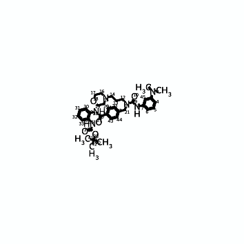 CN(C)c1cccc(NC(=O)N(CCCN2CCOCC2)Cc2ccc(C(=O)Nc3ccccc3NC(=O)OC(C)(C)C)cc2)c1